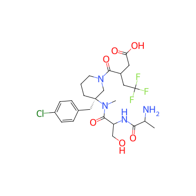 CC(N)C(=O)NC(CO)C(=O)N(C)[C@@]1(Cc2ccc(Cl)cc2)CCCN(C(=O)C(CC(=O)O)CC(F)(F)F)C1